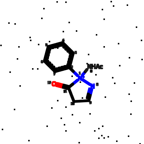 CC(=O)N[N+]1(c2ccccc2)N=CCC1=O